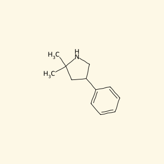 CC1(C)CC(c2ccccc2)CN1